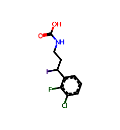 O=C(O)NCCC(I)c1cccc(Cl)c1F